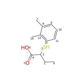 CCC(S)C(=O)O.Cc1ccccc1C